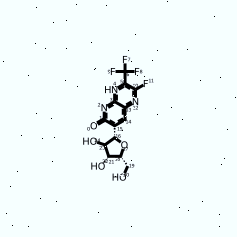 O=c1nc2[nH]c(C(F)(F)F)c(F)nc-2cc1[C@@H]1O[C@H](CO)[C@H](O)C1O